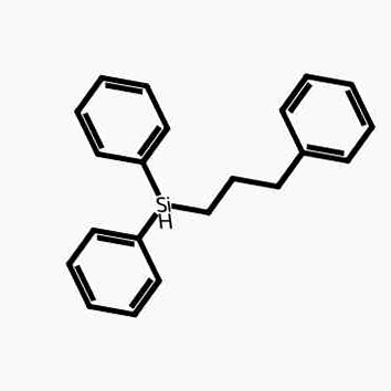 c1ccc(CCC[SiH](c2ccccc2)c2ccccc2)cc1